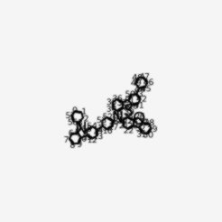 C1=CCC(n2c3ccccc3c3ccc(C4C=CC(N(c5ccc6c(c5)oc5ccccc56)c5cccc6c5sc5ccc(-c7ccccc7)cc56)=CC4)cc32)C=C1